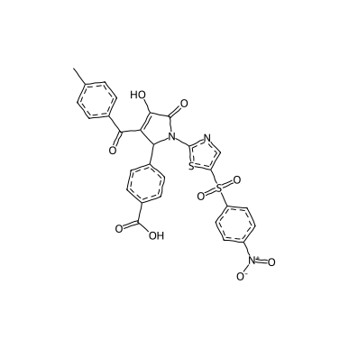 Cc1ccc(C(=O)C2=C(O)C(=O)N(c3ncc(S(=O)(=O)c4ccc([N+](=O)[O-])cc4)s3)C2c2ccc(C(=O)O)cc2)cc1